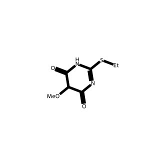 CCSC1=NC(=O)C(OC)C(=O)N1